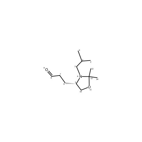 C[C](C)CN1[C@@H](CCC=O)COC1(C)C